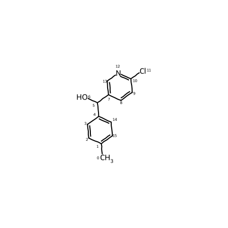 Cc1ccc(C(O)c2ccc(Cl)nc2)cc1